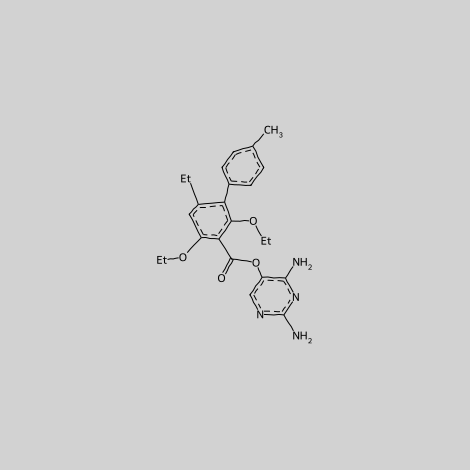 CCOc1cc(CC)c(-c2ccc(C)cc2)c(OCC)c1C(=O)Oc1cnc(N)nc1N